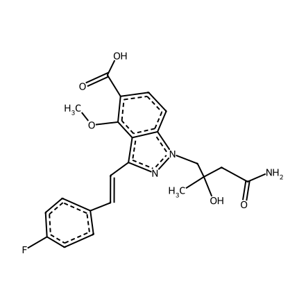 COc1c(C(=O)O)ccc2c1c(C=Cc1ccc(F)cc1)nn2CC(C)(O)CC(N)=O